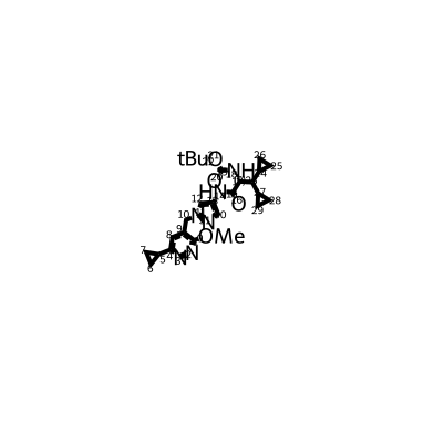 COc1nnc(C2CC2)cc1Cn1cc(NC(=O)[C@@H](NC(=O)OC(C)(C)C)C(C2CC2)C2CC2)cn1